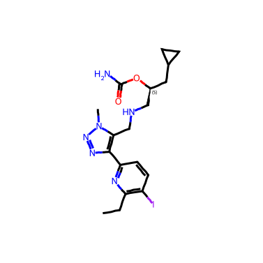 CCc1nc(-c2nnn(C)c2CNC[C@H](CC2CC2)OC(N)=O)ccc1I